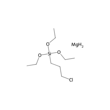 CCO[Si](CCCCl)(OCC)OCC.[MgH2]